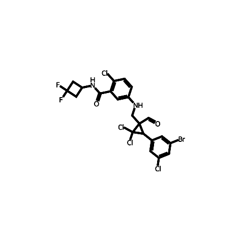 O=CC1(CNc2ccc(Cl)c(C(=O)NC3CC(F)(F)C3)c2)C(c2cc(Cl)cc(Br)c2)C1(Cl)Cl